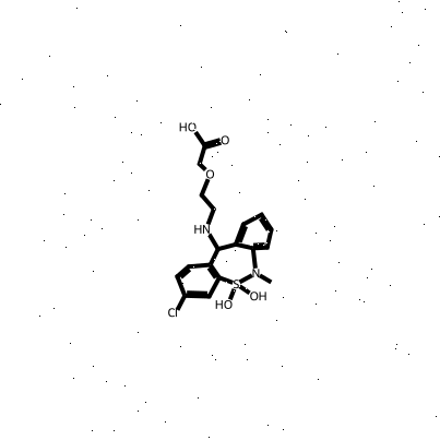 CN1c2ccccc2C(NCCOCC(=O)O)c2ccc(Cl)cc2S1(O)O